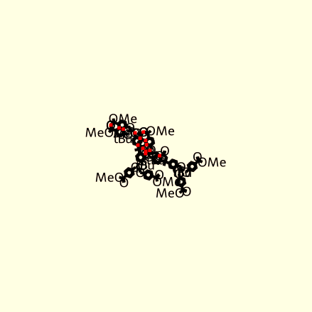 COC(=O)c1ccc(OP(Oc2ccc(C(=O)OC)cc2)Oc2ccc(C(C)(CC(=O)OCCOC(=O)CC(C)(c3ccc(OP(Oc4ccc(C(=O)OC)cc4)Oc4ccc(C(=O)OC)cc4)c(C(C)(C)C)c3)c3ccc(OP(Oc4ccc(C(=O)OC)cc4)Oc4ccc(C(=O)OC)cc4)c(C(C)(C)C)c3)c3ccc(OP(Oc4ccc(C(=O)OC)cc4)Oc4ccc(C(=O)OC)cc4)c(C(C)(C)C)c3)cc2C(C)(C)C)cc1